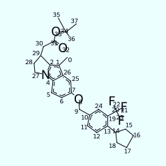 Cc1c2n(c3ccc(OCc4ccc(C5CCCC5)c(C(F)(F)F)c4)cc13)CCC2CC(=O)OC(C)(C)C